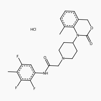 Cc1cccc2c1N(C1CCN(CC(=O)Nc3cc(F)c(C)c(F)c3F)CC1)C(=O)OC2.Cl